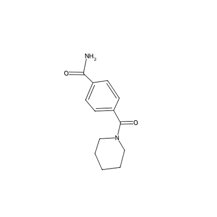 NC(=O)c1ccc(C(=O)N2CCCCC2)cc1